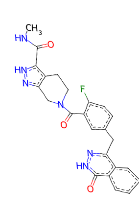 CNC(=O)c1[nH]nc2c1CCN(C(=O)c1cc(Cc3n[nH]c(=O)c4ccccc34)ccc1F)C2